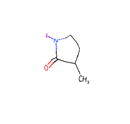 CC1CCN(I)C1=O